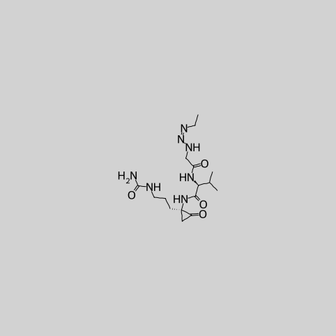 CC/N=N\NCC(=O)N[C@H](C(=O)N[C@]1(CCCNC(N)=O)CC1=O)C(C)C